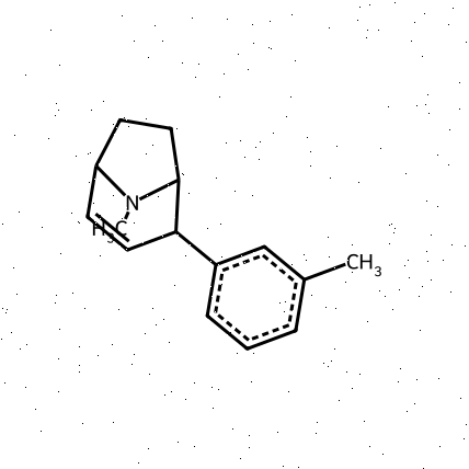 Cc1cccc(C2C=CC3CCC2N3C)c1